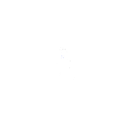 CN1C=C2C=CCC=C2C1